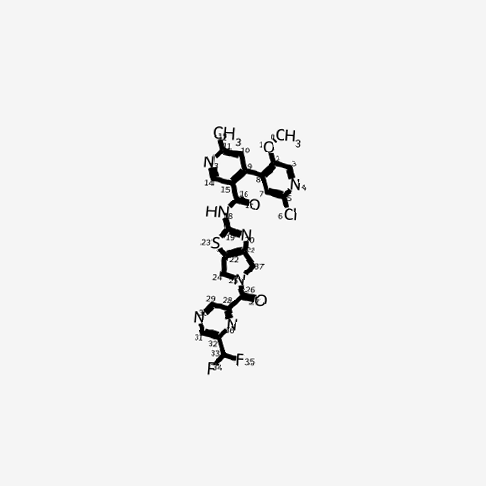 COc1cnc(Cl)cc1-c1cc(C)ncc1C(=O)Nc1nc2c(s1)CN(C(=O)c1cncc(C(F)F)n1)C2